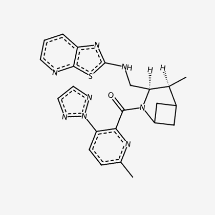 Cc1ccc(-n2nccn2)c(C(=O)N2C3CC(C3)[C@H](C)[C@@H]2CNc2nc3cccnc3s2)n1